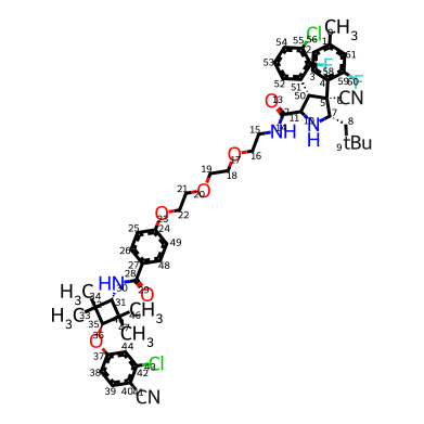 Cc1ccc([C@@]2(C#N)[C@H](CC(C)(C)C)NC(C(=O)NCCOCCOCCOc3ccc(C(=O)N[C@H]4C(C)(C)[C@H](Oc5ccc(C#N)c(Cl)c5)C4(C)C)cc3)[C@@H]2c2cccc(Cl)c2F)c(F)c1